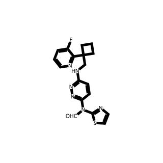 O=CN(c1ccc(NCC2(c3ncccc3F)CCC2)nn1)c1nccs1